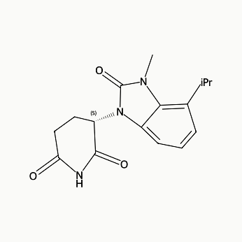 CC(C)c1cccc2c1n(C)c(=O)n2[C@H]1CCC(=O)NC1=O